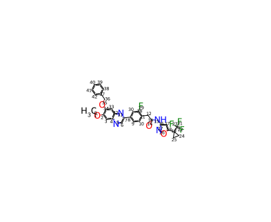 COc1cc2ncc(-c3ccc(CC(=O)Nc4cc(C5(C(F)(F)F)CC5)on4)c(F)c3)nc2cc1OCc1ccccc1